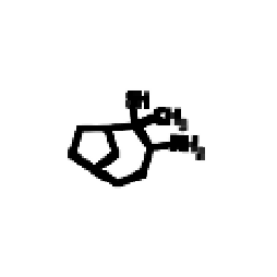 CC1(S)C(N)CCC2CCC1C2